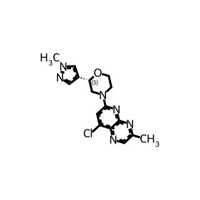 Cc1cnc2c(Cl)cc(N3CCO[C@@H](c4cnn(C)c4)C3)nc2n1